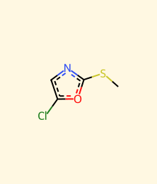 CSc1ncc(Cl)o1